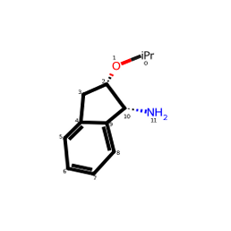 CC(C)O[C@H]1Cc2ccccc2[C@H]1N